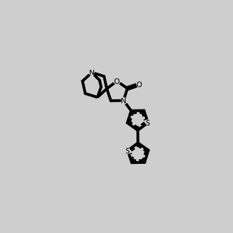 O=C1OC2(CN3CCC2CC3)CN1c1csc(-c2cccs2)c1